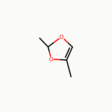 CC1=COC(C)O1